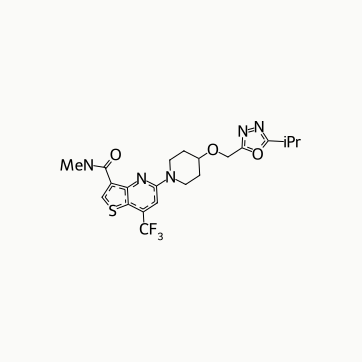 CNC(=O)c1csc2c(C(F)(F)F)cc(N3CCC(OCc4nnc(C(C)C)o4)CC3)nc12